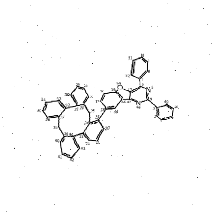 c1ccc(-c2nc(-c3ccccc3)c3oc4ccc(-c5cccc6c5Cc5ccccc5-c5ccccc5Cc5ccccc5-6)cc4c3n2)cc1